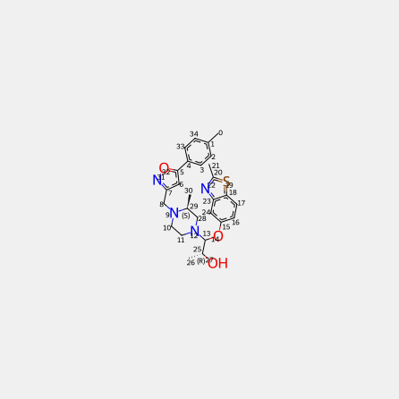 Cc1ccc(-c2cc(CN3CCN(C(Oc4ccc5sc(C)nc5c4)[C@@H](C)O)C[C@@H]3C)no2)cc1